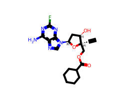 C#C[C@]1(COC(=O)C2CCCCC2)O[C@@H](n2cnc3c(N)nc(F)nc32)C[C@@H]1O